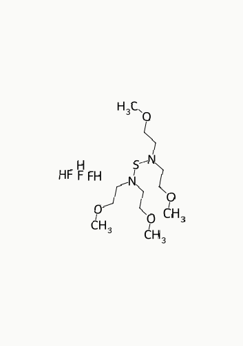 COCCN(CCOC)SN(CCOC)CCOC.F.F.F